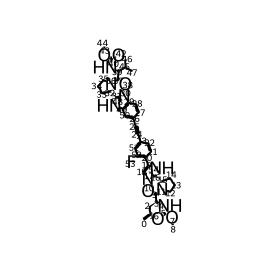 C=CC[C@H](NC(=O)OC)C(=O)N1CCC[C@H]1c1ncc(-c2ccc(C#Cc3ccc4nc([C@@H]5CCCN5C(=O)C(NC(=O)OC)C(C)C)[nH]c4c3)cc2F)[nH]1